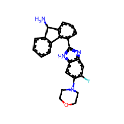 NC1c2ccccc2-c2c(-c3nc4cc(F)c(N5CCOCC5)cc4[nH]3)cccc21